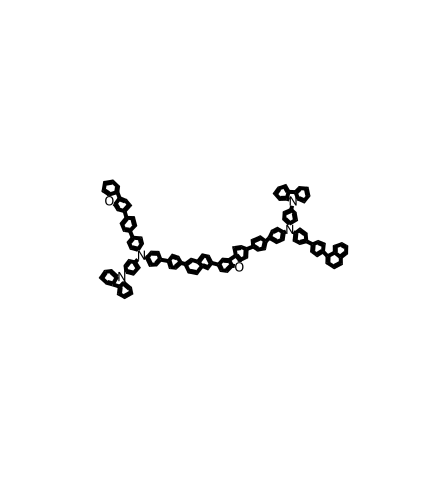 c1ccc2c(-c3ccc(-c4ccc(N(c5ccc(-c6ccc(-c7ccc8c(c7)oc7ccc(-c9ccc%10cc(-c%11ccc(-c%12ccc(N(c%13ccc(-c%14ccc(-c%15ccc%16c(c%15)oc%15ccccc%15%16)cc%14)cc%13)c%13ccc(-n%14c%15ccccc%15c%15ccccc%15%14)cc%13)cc%12)cc%11)ccc%10c9)cc78)cc6)cc5)c5ccc(-n6c7ccccc7c7ccccc76)cc5)cc4)cc3)cccc2c1